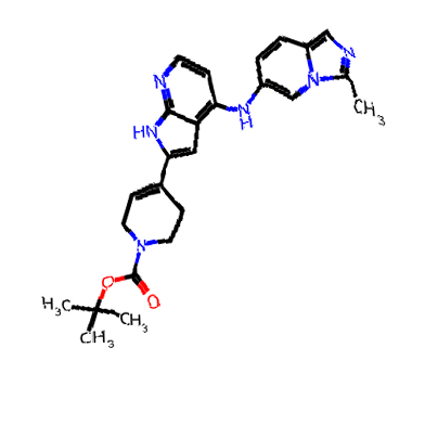 Cc1ncc2ccc(Nc3ccnc4[nH]c(C5=CCN(C(=O)OC(C)(C)C)CC5)cc34)cn12